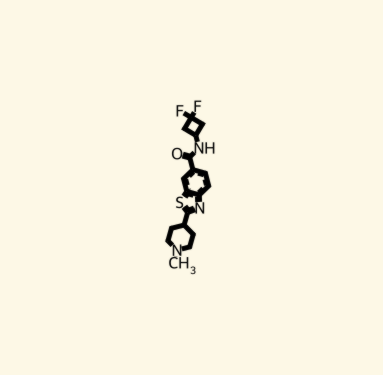 CN1CCC(c2nc3ccc(C(=O)NC4CC(F)(F)C4)cc3s2)CC1